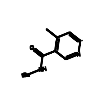 Cc1c[c]ncc1C(=O)NC(C)(C)C